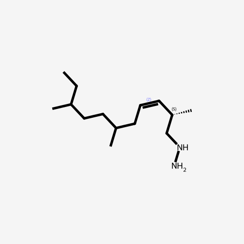 CCC(C)CCC(C)C/C=C\[C@H](C)CNN